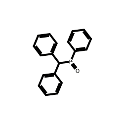 O=[P](c1ccccc1)C(c1ccccc1)c1ccccc1